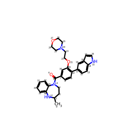 CC1CCN(C(=O)c2ccc(-c3ccc4[nH]ccc4c3)c(OCCN3CCOCC3)c2)c2ccccc2N1